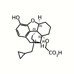 O=C(O)CO[C@@]12CCC[C@@H]3Oc4c(O)ccc5c4[C@@]31CCN(CC1CC1)[C@@H]2C5